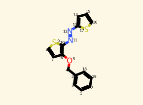 c1ccc(COc2ccsc2N=Nc2cccs2)cc1